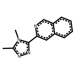 Cc1nnc(-c2cc3ccccc3cn2)n1C